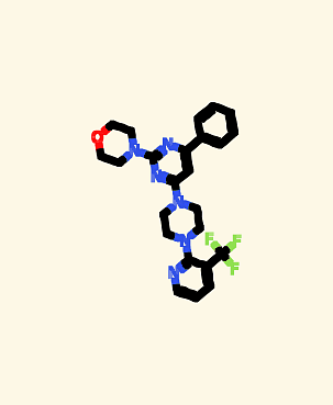 FC(F)(F)c1cccnc1N1CCN(c2cc(-c3ccccc3)nc(N3CCOCC3)n2)CC1